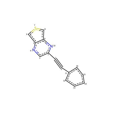 C(#Cc1cnc2cscc2n1)c1ccccc1